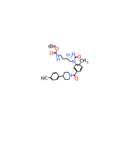 Cc1ccc(C(=O)N2CCC(c3ccc(C#N)cc3)CC2)cc1N(CCCCNC(=O)OC(C)(C)C)C(N)=O